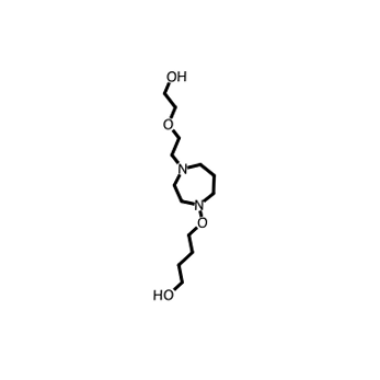 OCCCCON1CCCN(CCOCCO)CC1